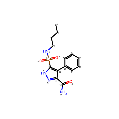 CCCCNS(=O)(=O)c1[nH]nc(C(N)=O)c1-c1ccccc1